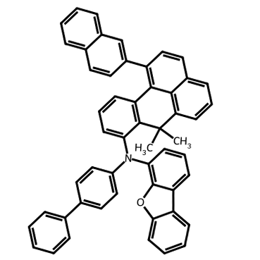 CC1(C)c2c(cccc2N(c2ccc(-c3ccccc3)cc2)c2cccc3c2oc2ccccc23)-c2c(-c3ccc4ccccc4c3)ccc3cccc1c23